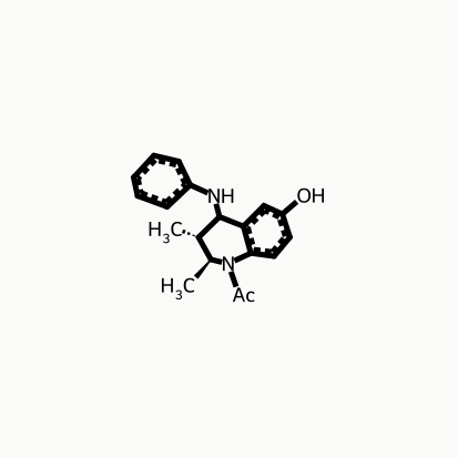 CC(=O)N1c2ccc(O)cc2C(Nc2ccccc2)[C@@H](C)[C@@H]1C